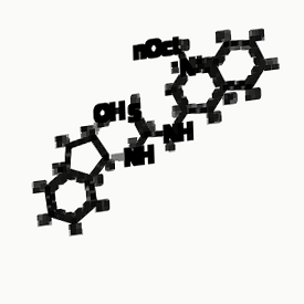 CCCCCCCC[n+]1cc(NC(=S)N[C@@H]2c3ccccc3C[C@@H]2O)cc2ccccc21